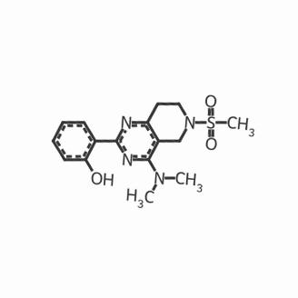 CN(C)c1nc(-c2ccccc2O)nc2c1CN(S(C)(=O)=O)CC2